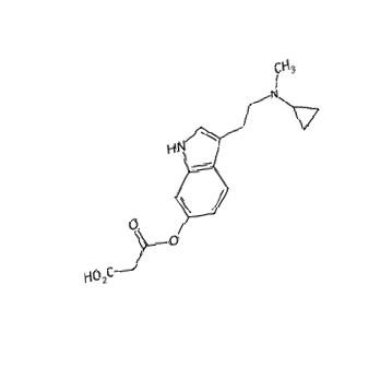 CN(CCc1c[nH]c2cc(OC(=O)CC(=O)O)ccc12)C1CC1